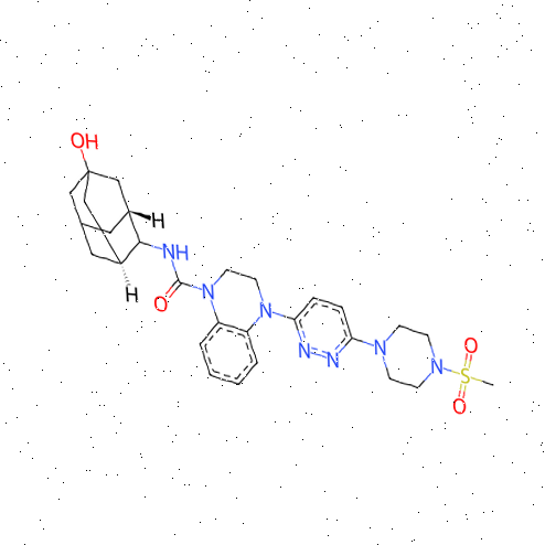 CS(=O)(=O)N1CCN(c2ccc(N3CCN(C(=O)NC4[C@@H]5CC6C[C@H]4CC(O)(C6)C5)c4ccccc43)nn2)CC1